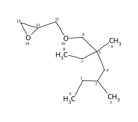 CCC(C)CC(C)(CC)COCC1CO1